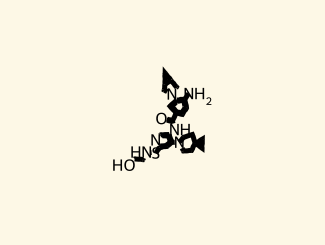 Nc1ccc(C(=O)Nc2cnc(SNCCO)cc2N2CCC3(CC2)CC3)cc1N1CC2CC2C1